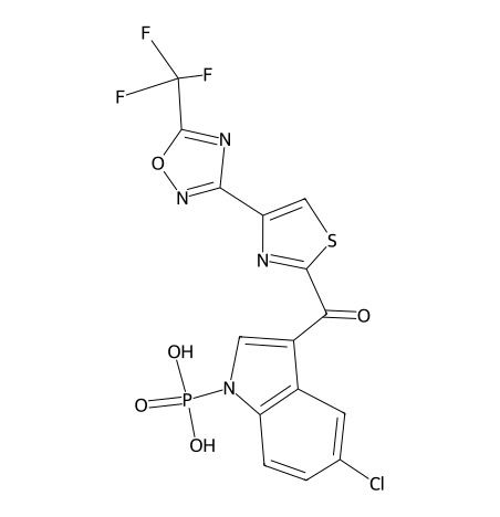 O=C(c1nc(-c2noc(C(F)(F)F)n2)cs1)c1cn(P(=O)(O)O)c2ccc(Cl)cc12